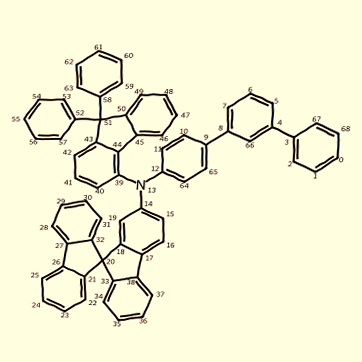 c1ccc(-c2cccc(-c3ccc(N(c4ccc5c(c4)C4(c6ccccc6-c6ccccc64)c4ccccc4-5)c4cccc5c4-c4ccccc4C5(c4ccccc4)c4ccccc4)cc3)c2)cc1